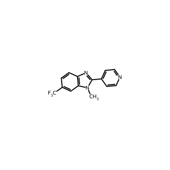 Cn1c(-c2ccncc2)nc2ccc(C(F)(F)F)cc21